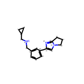 c1cc(CNCC2CC2)cc(-c2cn3c(n2)CCC3)c1